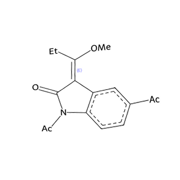 CC/C(OC)=C1\C(=O)N(C(C)=O)c2ccc(C(C)=O)cc21